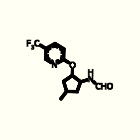 CC1CC(NC=O)C(Oc2ccc(C(F)(F)F)cn2)C1